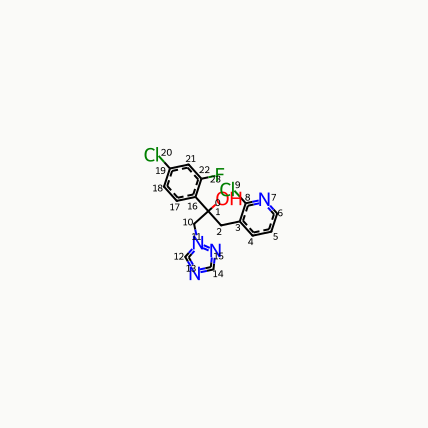 OC(Cc1cccnc1Cl)(Cn1cncn1)c1ccc(Cl)cc1F